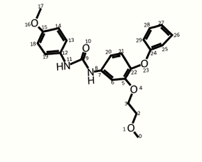 COCCOc1cc(NC(=O)Nc2ccc(OC)cc2)ccc1Oc1ccccc1